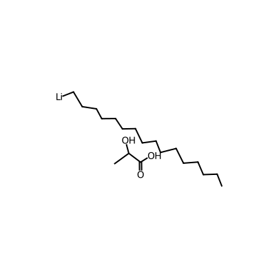 CC(O)C(=O)O.[Li][CH2]CCCCCCCCCCCCCCC